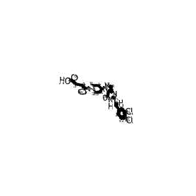 O=C(O)CCC(=O)N1CCC(n2ncc3nc(NCc4ccc(Cl)c(Cl)c4)[nH]c(=O)c32)CC1